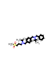 CC(C)N(CCCS(C)(=O)=O)Cc1ccc(CN(Cc2ccccc2)C(C)(C)C)cc1